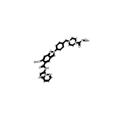 COc1cc2nn(C3CCC(CN4CCN(C(=O)OC(C)(C)C)CC4)CC3)cc2cc1C(=O)Nc1cnc2cccnn12